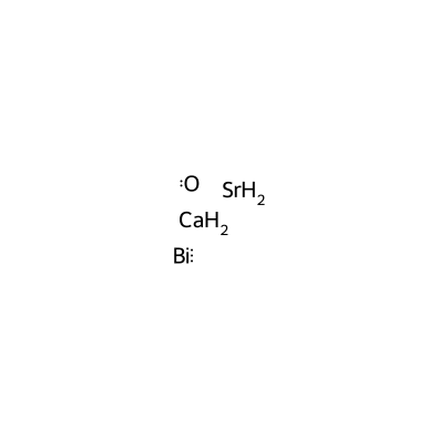 [Bi].[CaH2].[O].[SrH2]